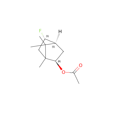 CC(=O)O[C@@H]1C[C@@H]2[C@@H](F)CC1(C)C2(C)C